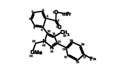 CCCOC(=O)c1ccccc1-c1c(C)c(-c2ccc(F)cc2)nn1COC